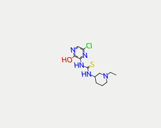 CCN1CCCC(NC(=S)Nc2nc(Cl)cnc2O)C1